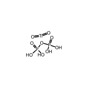 O=P(O)(O)OP(=O)(O)O.[O]=[Ti]=[O]